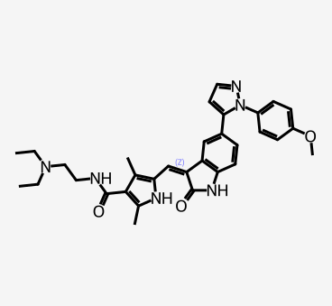 CCN(CC)CCNC(=O)c1c(C)[nH]c(/C=C2\C(=O)Nc3ccc(-c4ccnn4-c4ccc(OC)cc4)cc32)c1C